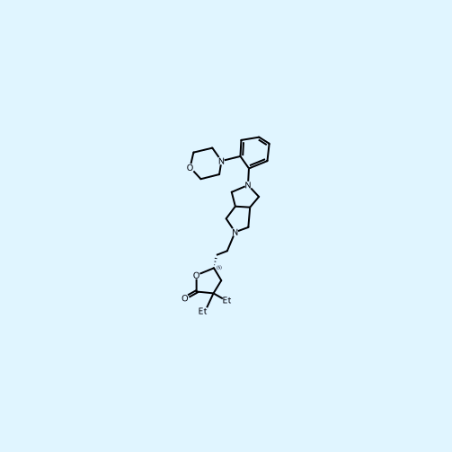 CCC1(CC)C[C@@H](CCN2CC3CN(c4ccccc4N4CCOCC4)CC3C2)OC1=O